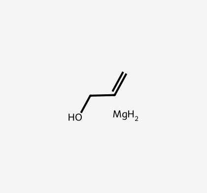 C=CCO.[MgH2]